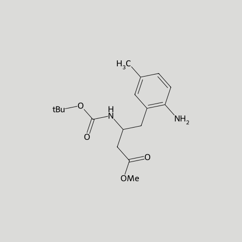 COC(=O)CC(Cc1cc(C)ccc1N)NC(=O)OC(C)(C)C